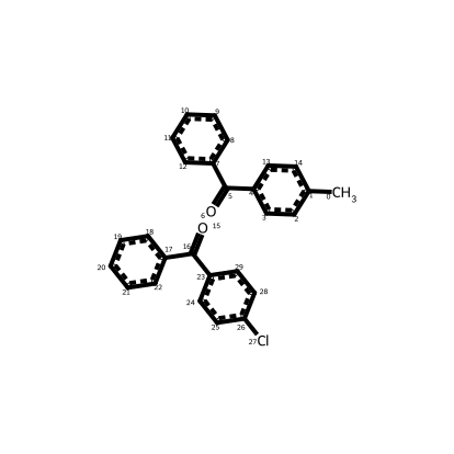 Cc1ccc(C(=O)c2ccccc2)cc1.O=C(c1ccccc1)c1ccc(Cl)cc1